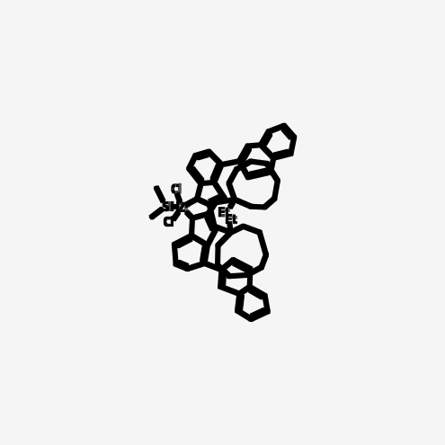 CCC1(CC2=Cc3c(-c4ccc5ccccc5c4)cccc3[CH]2[Zr]([Cl])([Cl])([CH]2C(CC3(CC)CCCCCCCC3)=Cc3c(-c4ccc5ccccc5c4)cccc32)[SiH](C)C)CCCCCCCC1